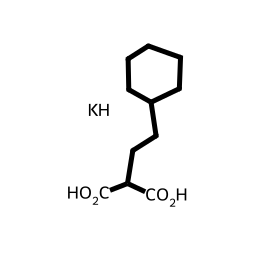 O=C(O)C(CCC1CCCCC1)C(=O)O.[KH]